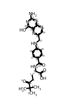 CC(C)(C)C(=O)CC[C@H](NC(=O)c1ccc(NCc2cnc3nc(N)nc(O)c3n2)cc1)C(=O)O